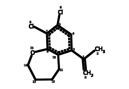 C=C(C)c1cc(Cl)c(Cl)c2c1CCCCO2